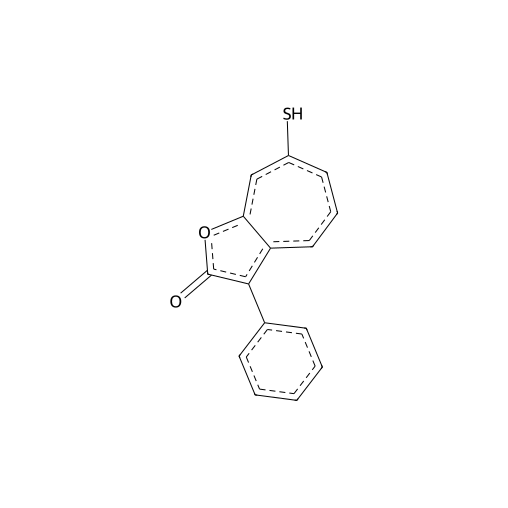 O=c1oc2cc(S)cccc-2c1-c1ccccc1